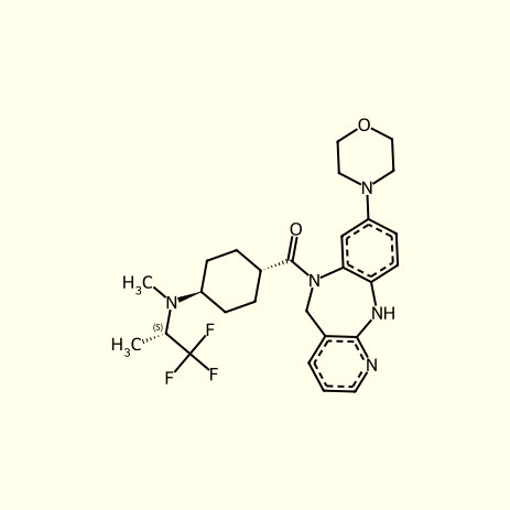 C[C@H](N(C)[C@H]1CC[C@H](C(=O)N2Cc3cccnc3Nc3ccc(N4CCOCC4)cc32)CC1)C(F)(F)F